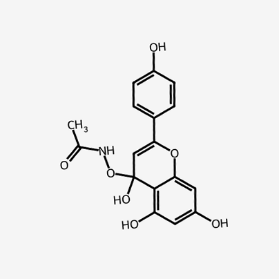 CC(=O)NOC1(O)C=C(c2ccc(O)cc2)Oc2cc(O)cc(O)c21